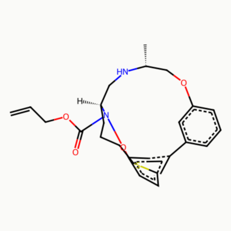 C=CCOC(=O)N1Oc2ccc3c(c2)-c2cccc(c2)OC[C@@H](C)NC[C@@H]1CCCCS3